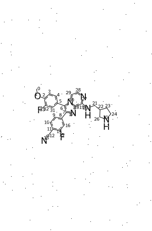 COc1ccc(-c2c(-c3ccc(C#N)c(F)c3)nc3c(NCC4CCNC4)nccn23)cc1F